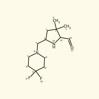 CC1(C)CC(CN2CCC(F)(F)CC2)NC1C=O